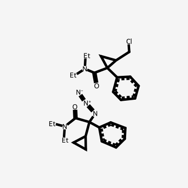 CCN(CC)C(=O)C(N=[N+]=[N-])(c1ccccc1)C1CC1.CCN(CC)C(=O)C1(c2ccccc2)CC1CCl